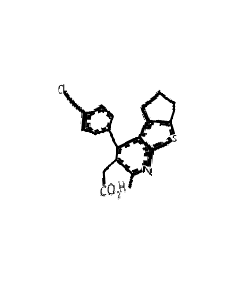 Cc1nc2sc3c(c2c(-c2ccc(Cl)cc2)c1CC(=O)O)CCC3